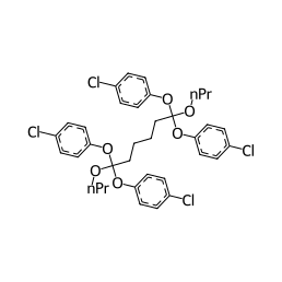 CCCOC(CCCCC(OCCC)(Oc1ccc(Cl)cc1)Oc1ccc(Cl)cc1)(Oc1ccc(Cl)cc1)Oc1ccc(Cl)cc1